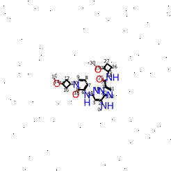 CNc1cc(Nc2cccn([C@H]3C[C@H](OC)C3)c2=O)nn2c(C(=O)N[C@@H]3CC[C@H]3OC)cnc12